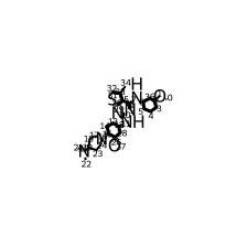 COc1cccc(Nc2nc(Nc3ccc(N4CCC(N(C)C)CC4)c(OC)c3)nc3scc(C)c23)c1